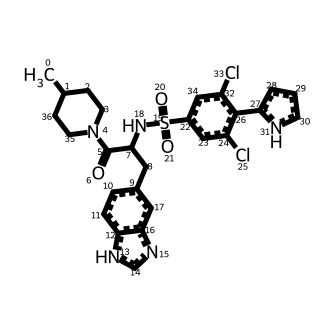 CC1CCN(C(=O)C(Cc2ccc3[nH]cnc3c2)NS(=O)(=O)c2cc(Cl)c(-c3ccc[nH]3)c(Cl)c2)CC1